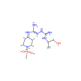 CCC(CO)NC(=N)NN=C(N)NC1CCN(S(C)(=O)=O)CC1